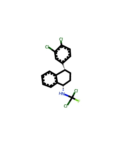 FC(Cl)(Cl)N[C@H]1CC[C@@H](c2ccc(Cl)c(Cl)c2)c2ccccc21